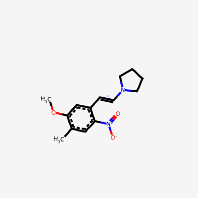 COc1cc(/C=C/N2CCCC2)c([N+](=O)[O-])cc1C